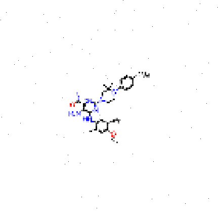 CCOc1cc(C)c(Nc2nc(N3CCN(c4ccc(OC)cc4)C(C)(C)C3)nc(C(N)=O)c2N)cc1C(C)C